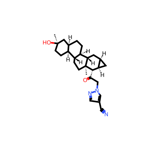 C[C@@]1(O)CC[C@H]2[C@H](CC[C@@H]3[C@@H]2CC[C@@]2(C)[C@H]3C[C@H]3C[C@H]3[C@@H]2C(=O)Cn2cc(C#N)cn2)C1